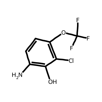 Nc1ccc(OC(F)(F)F)c(Cl)c1O